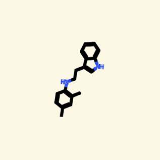 Cc1ccc(NCCc2c[nH]c3ccccc23)c(C)c1